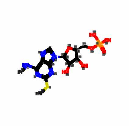 CCCSc1nc(NC(C)C)c2ncn([C@@H]3O[C@H](COP(=O)(O)O)[C@@H](O)[C@H]3O)c2n1